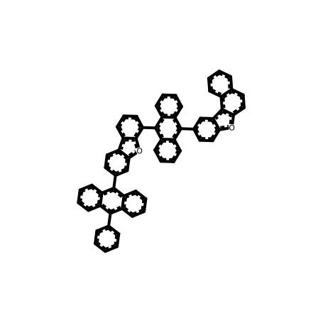 c1ccc(-c2c3ccccc3c(-c3ccc4c(c3)oc3c(-c5c6ccccc6c(-c6ccc7oc8ccc9ccccc9c8c7c6)c6ccccc56)cccc34)c3ccccc23)cc1